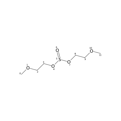 COCCOS(=O)OCCOC